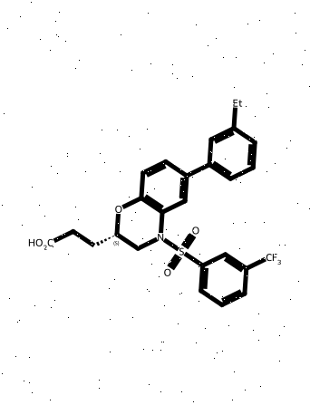 CCc1cccc(-c2ccc3c(c2)N(S(=O)(=O)c2cccc(C(F)(F)F)c2)C[C@H](CCC(=O)O)O3)c1